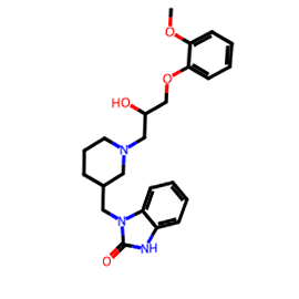 COc1ccccc1OCC(O)CN1CCCC(Cn2c(=O)[nH]c3ccccc32)C1